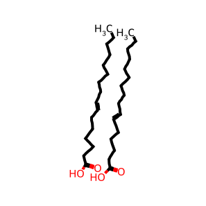 CCCCCCCCC=CCCCCCC(=O)O.CCCCCCCCCC=CCCCCC(=O)O